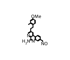 COc1ccc(CCc2cnc3c(N)nc4cc(CN=O)ccc4c3c2)c(C)c1